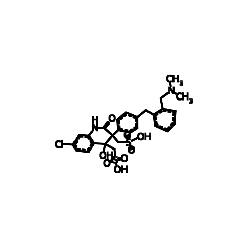 CN(C)Cc1ccccc1Cc1ccc(C2(CS(=O)(=O)O)C(=O)Nc3cc(Cl)ccc3C2(O)CS(=O)(=O)O)cc1